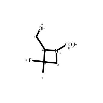 O=C(O)N1CC(F)(F)C1CO